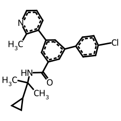 Cc1ncccc1-c1cc(C(=O)NC(C)(C)C2CC2)cc(-c2ccc(Cl)cc2)c1